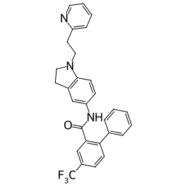 O=C(Nc1ccc2c(c1)CCN2CCc1ccccn1)c1cc(C(F)(F)F)ccc1-c1ccccc1